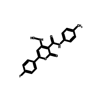 Cc1ccc(NC(=O)c2c(NO)cc(-c3ccc(F)cc3)oc2=O)cc1